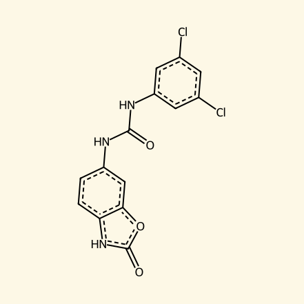 O=C(Nc1cc(Cl)cc(Cl)c1)Nc1ccc2[nH]c(=O)oc2c1